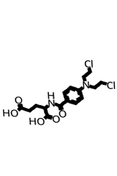 O=C(O)CCC(NC(=O)c1ccc(N(CCCl)CCCl)cc1)C(=O)O